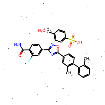 Cc1ccc(S(=O)(=O)O)cc1.Cc1ccccc1-c1ccc(-c2nc(-c3ccc(C(N)=O)c(F)c3)no2)cc1C.O